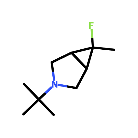 CC1(F)C2CN(C(C)(C)C)CC21